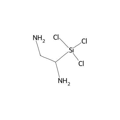 NCC(N)[Si](Cl)(Cl)Cl